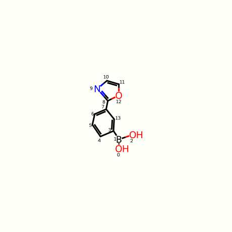 OB(O)c1cccc(-c2ncco2)c1